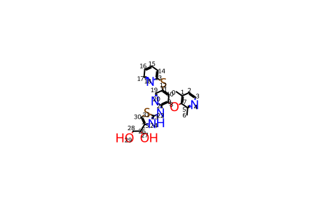 Cc1ccnc(C)c1Oc1cc(Sc2ccccn2)cnc1Nc1nc(C(O)CO)cs1